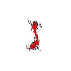 CN[C@@H](C)C(=O)N[C@H](C(=O)N1CCC[C@H]1c1cncc(-n2cc(C(=O)NCCCOCCOCCOCCCNC(=O)c3cn(-c4cncc([C@@H]5CCCN5C(=O)[C@@H](NC(=O)[C@H](C)NC)C(C)C)c4)c4ccccc34)c3ccccc32)c1)C(C)C